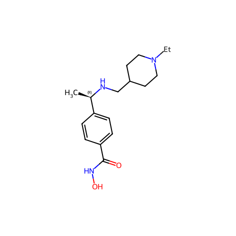 CCN1CCC(CN[C@H](C)c2ccc(C(=O)NO)cc2)CC1